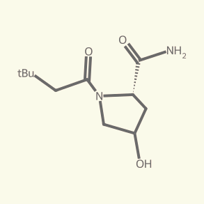 CC(C)(C)CC(=O)N1CC(O)C[C@H]1C(N)=O